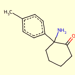 Cc1ccc(C2(N)CCCCC2=O)cc1